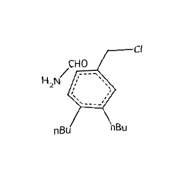 CCCCc1ccc(CCl)cc1CCCC.NC=O